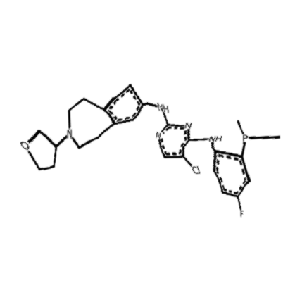 CP(C)c1cc(F)ccc1Nc1nc(Nc2ccc3c(c2)CCN(C2CCOC2)CC3)ncc1Cl